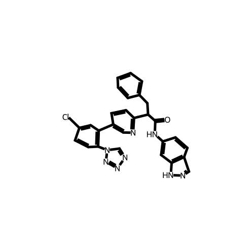 O=C(Nc1ccc2cn[nH]c2c1)C(Cc1ccccc1)c1ccc(-c2cc(Cl)ccc2-n2cnnn2)cn1